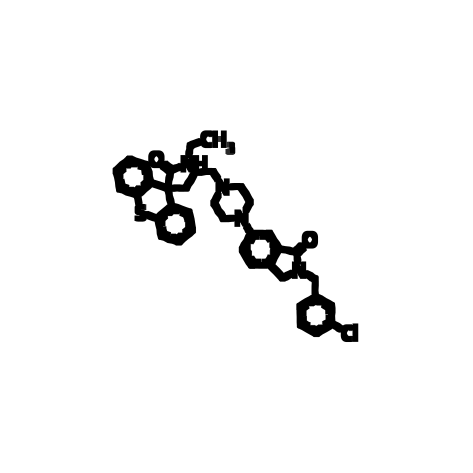 CCNC(=O)C1(CCCN2CCN(c3ccc4c(c3)C(=O)N(Cc3cccc(Cl)c3)C4)CC2)c2ccccc2Sc2ccccc21